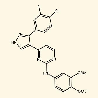 COc1ccc(Nc2nccc(-c3c[nH]nc3-c3ccc(Cl)c(C)c3)n2)cc1OC